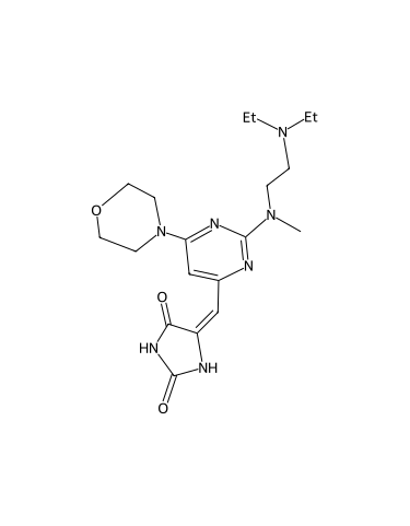 CCN(CC)CCN(C)c1nc(/C=C2/NC(=O)NC2=O)cc(N2CCOCC2)n1